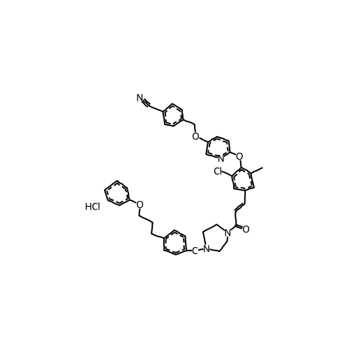 Cc1cc(/C=C/C(=O)N2CCN(Cc3ccc(CCCOc4ccccc4)cc3)CC2)cc(Cl)c1Oc1ccc(OCc2ccc(C#N)cc2)cn1.Cl